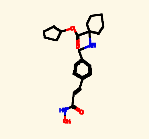 O=C(C=Cc1ccc(CNC2(C(=O)OC3CCCC3)CCCCC2)cc1)NO